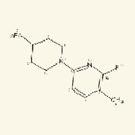 CCCC1CCN(c2ccc(C)c(F)n2)CC1